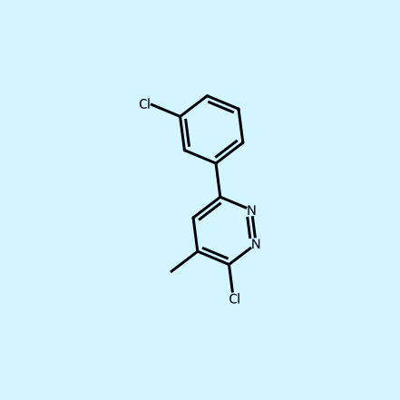 Cc1cc(-c2cccc(Cl)c2)nnc1Cl